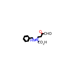 O=CC(=O)CCN(NCc1ccccc1)C(=O)O